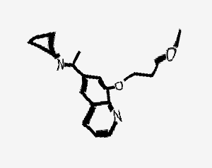 COCCCOc1cc(C(C)N=C2CC2)cc2cccnc12